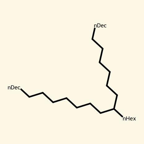 [CH2]CCCCCC(CCCCCCCCCCCCCCCC)CCCCCCCCCCCCCCCCC